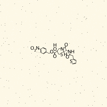 O=C(Cc1cccs1)NC1C(=O)N2CC(O)(C(=O)OCc3ccc([N+](=O)[O-])cc3)CS[C@H]12